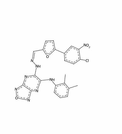 Cc1cccc(Nc2nc3nonc3nc2N/N=C\c2ccc(-c3ccc(Cl)c([N+](=O)[O-])c3)o2)c1C